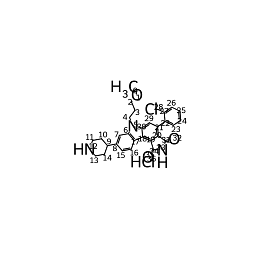 COCCCn1c2cc(C3CCNCC3)ccc2c2c3c(c(-c4ccccc4Cl)cc21)C(=O)NC3=O.Cl